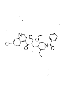 CCOC(=O)C(CC1CCN(C(=O)c2ccccc2)CC1CC)C(=O)c1ccnc2cc(Cl)ccc12